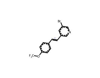 FC(F)(F)Oc1ccc(/C=C/c2cncc(Br)c2)cc1